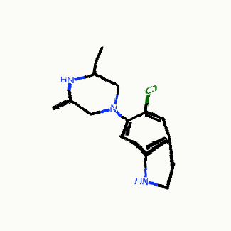 CC1CN(c2cc3c(cc2Cl)CCN3)CC(C)N1